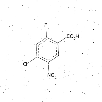 O=C(O)c1cc([N+](=O)[O-])c(Cl)cc1F